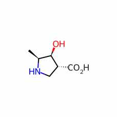 C[C@@H]1NC[C@@H](C(=O)O)[C@@H]1O